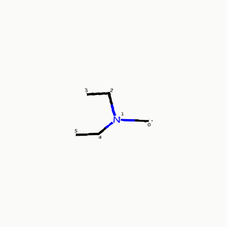 [CH2]N(CC)CC